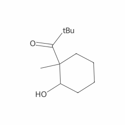 CC(C)(C)C(=O)C1(C)CCCCC1O